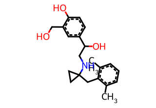 Cc1cccc(C)c1CC1(NCC(O)c2ccc(O)c(CO)c2)CC1